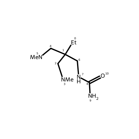 CCC(CNC)(CNC)CNC(N)=O